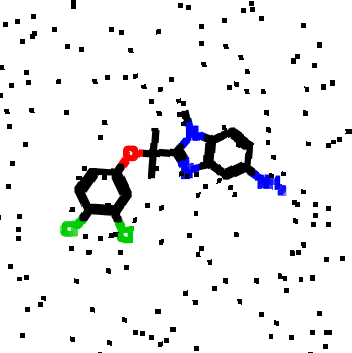 Cn1c(C(C)(C)Oc2ccc(Cl)c(Cl)c2)nc2cc(N)ccc21